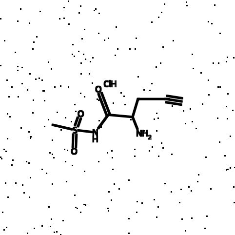 C#CCC(N)C(=O)NS(C)(=O)=O.Cl